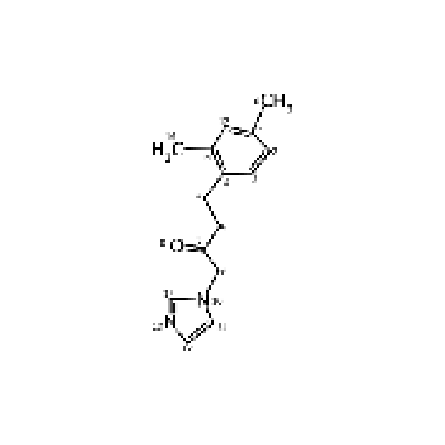 Cc1ccc(CCC(=O)Cn2ccnc2)c(C)c1